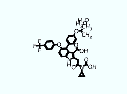 CC(C)Oc1ccc(-c2c(Oc3ccc(C(F)(F)F)cc3)ccc3[nH]c(CC(=O)N(C(=O)O)C4CC4)c(C(=O)O)c23)cc1.O.O